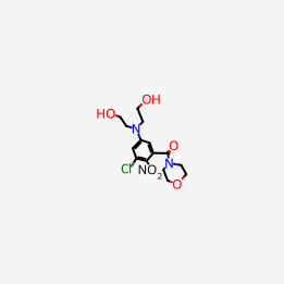 O=C(c1cc(N(CCO)CCO)cc(Cl)c1[N+](=O)[O-])N1CCOCC1